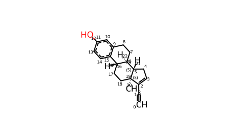 C#CC1=CC[C@H]2[C@@H]3CCc4cc(O)ccc4[C@H]3CC[C@]12C